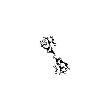 [N-]=[N+]=Nc1nc(N=Nc2nc(N=[N+]=[N-])n(C([N+](=O)[O-])([N+](=O)[O-])[N+](=O)[O-])n2)nn1C([N+](=O)[O-])([N+](=O)[O-])[N+](=O)[O-]